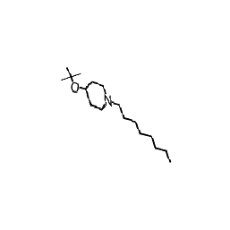 CCCCCCCCN1CCC(OC(C)(C)C)CC1